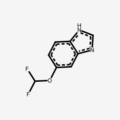 FC(F)Oc1ccc2[nH]cnc2c1